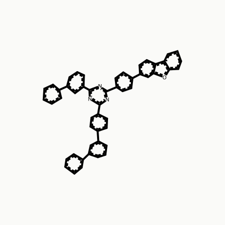 c1ccc(-c2cccc(-c3ccc(-c4nc(-c5ccc(-c6ccc7c(c6)oc6ccccc67)cc5)nc(-c5cccc(-c6ccccc6)c5)n4)cc3)c2)cc1